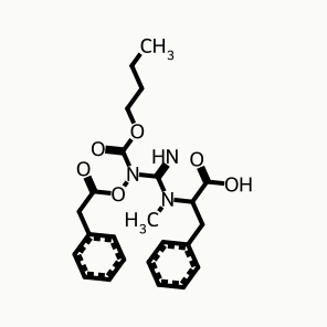 CCCCOC(=O)N(OC(=O)Cc1ccccc1)C(=N)N(C)C(Cc1ccccc1)C(=O)O